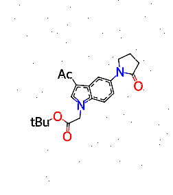 CC(=O)c1cn(CC(=O)OC(C)(C)C)c2ccc(N3CCCC3=O)cc12